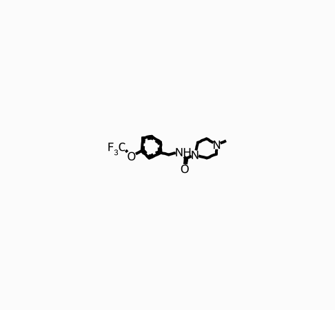 CN1CCN(C(=O)NCc2cccc(OC(F)(F)F)c2)CC1